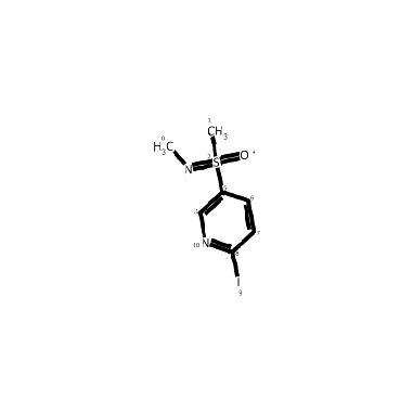 CN=S(C)(=O)c1ccc(I)nc1